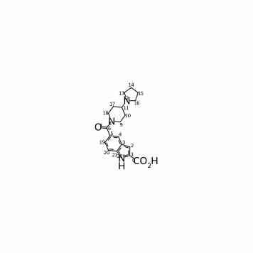 O=C(O)c1cc2cc(C(=O)N3CCC(N4CCCC4)CC3)ccc2[nH]1